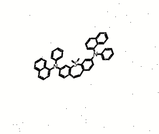 CS1(C)c2cc(N(c3ccccc3)c3cccc4ccccc34)ccc2C=Cc2ccc(N(c3ccccc3)c3cccc4ccccc34)cc21